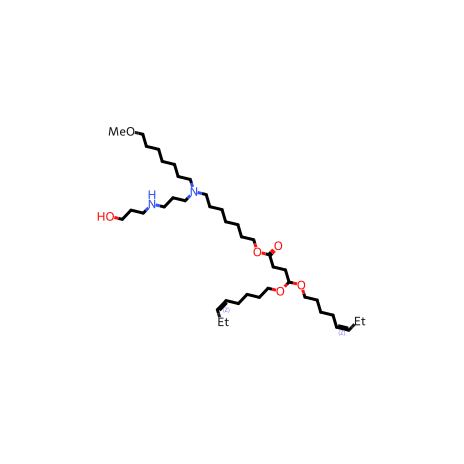 CC/C=C\CCCCOC(CCC(=O)OCCCCCCCN(CCCCCCCOC)CCCNCCCO)OCCCC/C=C\CC